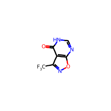 O=c1[nH]cnc2onc(C(F)(F)F)c12